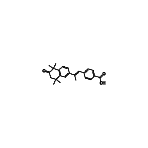 CC(=Cc1ccc(C(=O)O)cc1)c1ccc2c(c1)C(C)(C)CC(=O)C2(C)C